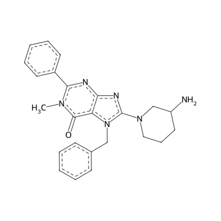 Cn1c(-c2ccccc2)nc2nc(N3CCCC(N)C3)n(Cc3ccccc3)c2c1=O